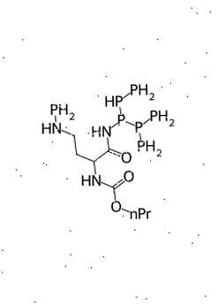 CCCOC(=O)NC(CCNP)C(=O)NP(PP)P(P)P